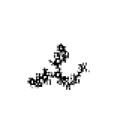 COc1cc2c(cc1OCc1cc(COc3cc4c(cc3OC)C(=O)N3c5ccccc5C[C@H]3CN4)cc(NC(=O)[C@H](C)NC(=O)[C@H](C)NC(=O)CCCCC(=O)C(C)C)c1)N=C[C@@H]1Cc3ccccc3N1C2=O